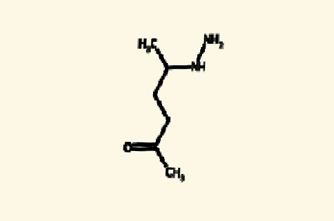 CC(=O)CCC(C)NN